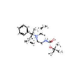 C=C[C@@H]1CN(C(=O)OC(C)(C)C)C[C@H](C=C)N1C(C)(C)c1ccccc1